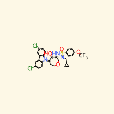 O=S(=NCC1CC1)(N[C@@H]1COCC[C@@H](n2c3ccc(Cl)cc3c3cc(Cl)ccc32)[C@@H]1O)c1ccc(OC(F)(F)F)cc1